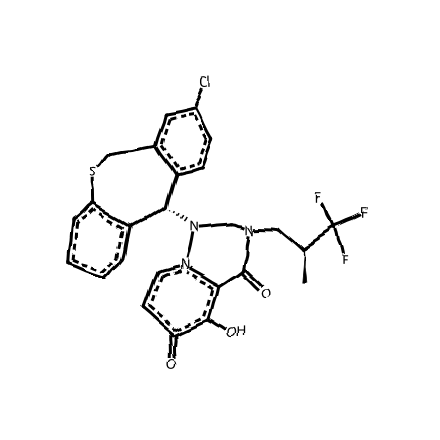 C[C@@H](CN1CN([C@H]2c3ccc(Cl)cc3CSc3ccccc32)n2ccc(=O)c(O)c2C1=O)C(F)(F)F